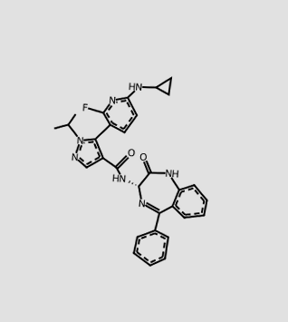 CC(C)n1ncc(C(=O)N[C@H]2N=C(c3ccccc3)c3ccccc3NC2=O)c1-c1ccc(NC2CC2)nc1F